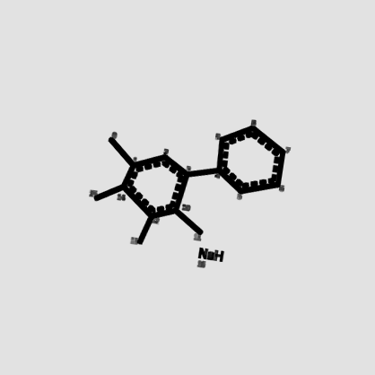 Cc1cc(-c2ccccc2)c(C)c(C)c1C.[NaH]